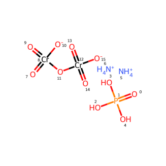 O=P(O)(O)O.[NH4+].[NH4+].[O]=[Cr](=[O])([O-])[O][Cr](=[O])(=[O])[O-]